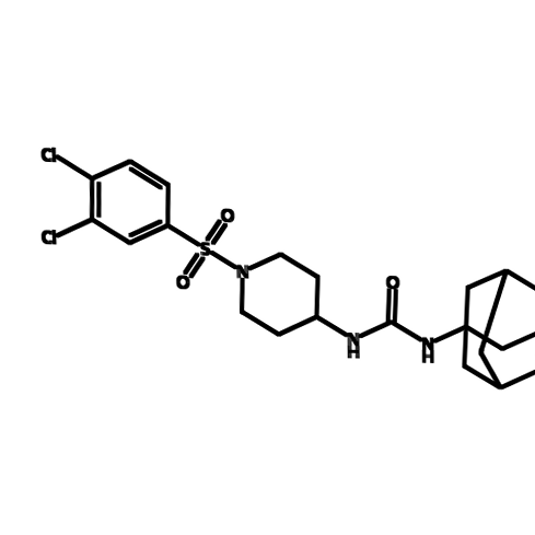 O=C(NC1CCN(S(=O)(=O)c2ccc(Cl)c(Cl)c2)CC1)NC12CC3CC(CC(C3)C1)C2